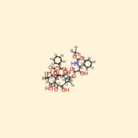 CC(=O)O[C@@]12CO[C@@H]1C[C@H](O)[C@@]1(C)C(=O)[C@H](O)C3=C(C)C(OC(=O)C(O)[C@@H](NC(=O)OC(C)(C)C)c4ccccc4)C[C@@](O)([C@@H](OC(=O)c4ccccc4)[C@H]21)C3(C)C